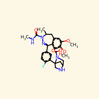 CNC(=O)N1N=C(c2ccc(F)c(C34CNC(CN3C(=O)O)C4)c2)c2cc(OC)c(OC)cc2CC1C